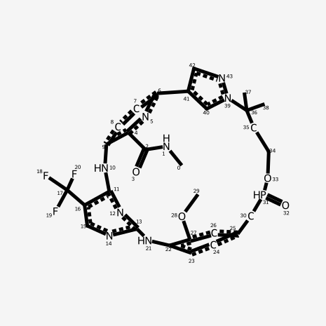 CNC(=O)c1nc2ccc1Nc1nc(ncc1C(F)(F)F)Nc1ccc(cc1OC)C[PH](=O)OCCC(C)(C)n1cc-2cn1